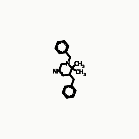 CC1(C)C(Cc2ccccc2)CCCN1Cc1ccccc1.N